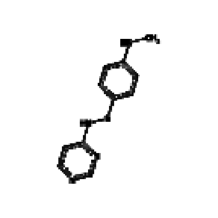 CNc1ccc(SNc2ccncn2)cc1